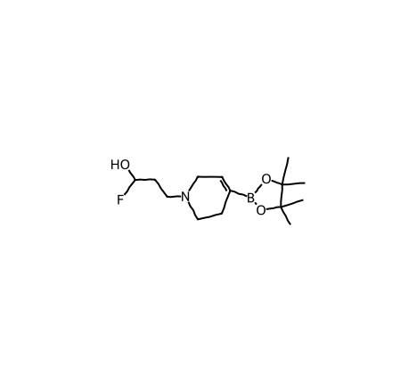 CC1(C)OB(C2=CCN(CCC(O)F)CC2)OC1(C)C